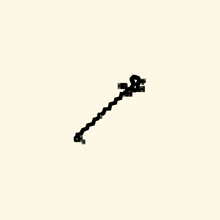 CCCCCCCCCCCCCCCCCCNC(O)c1c[nH]c2c(F)cccc12